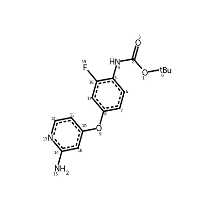 CC(C)(C)OC(=O)Nc1ccc(Oc2ccnc(N)c2)cc1F